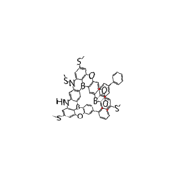 CSc1cc2c3c(c1)Oc1cc(-c4ccccc4)ccc1B3c1cc3c(cc1N2)N(SC)c1cc(SC)cc2c1B3c1cc3c(cc1O2)Oc1cc(SC)cc2c1B3c1ccc(-c3ccccc3)cc1O2